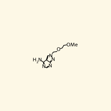 COCCOCCn1cc2c(N)ncnc2n1